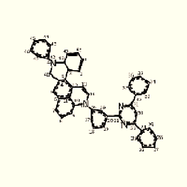 C1=CC2c3c(cc4cccc5c4c3C=CN5c3cccc(-c4nc(-c5ccccc5)cc(-c5ccccc5)n4)c3)CN(c3ccccc3)C2C=C1